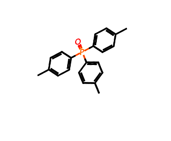 Cc1ccc(P(=O)(c2ccc(C)cc2)c2ccc(C)cc2)cc1